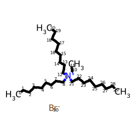 CCCCCCCCC[N+](CC)(CCCCCCCCC)CCCCCCCCC.[Br-]